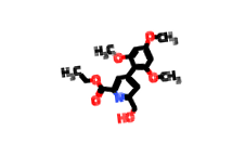 CCOC(=O)c1cc(-c2c(OC)cc(OC)cc2OC)cc(CO)n1